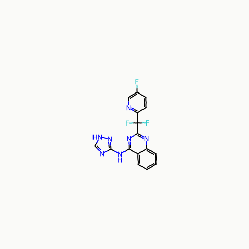 Fc1ccc(C(F)(F)c2nc(Nc3nc[nH]n3)c3ccccc3n2)nc1